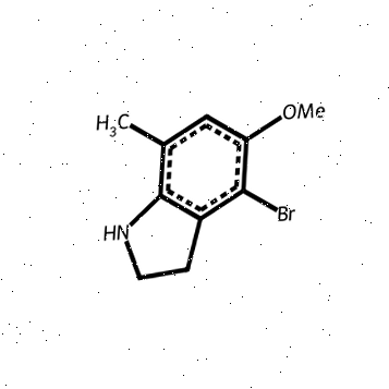 COc1cc(C)c2c(c1Br)CCN2